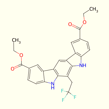 CCOC(=O)c1ccc2[nH]c3c(CC(F)(F)F)c4[nH]c5ccc(C(=O)OCC)cc5c4cc3c2c1